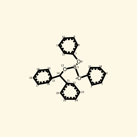 c1ccc(OB(Oc2ccccc2)OC(c2ccccc2)c2ccccc2)cc1